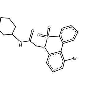 O=C(CN1c2cccc(Br)c2-c2ccccc2S1(=O)=O)NC1CCCCC1